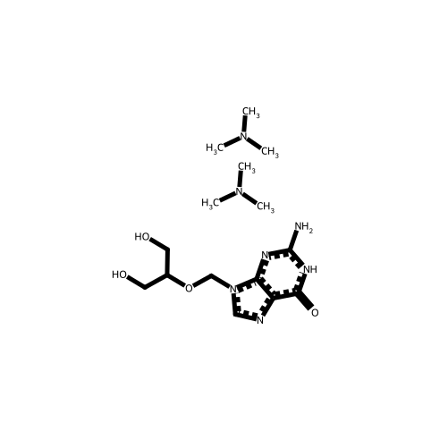 CN(C)C.CN(C)C.Nc1nc2c(ncn2COC(CO)CO)c(=O)[nH]1